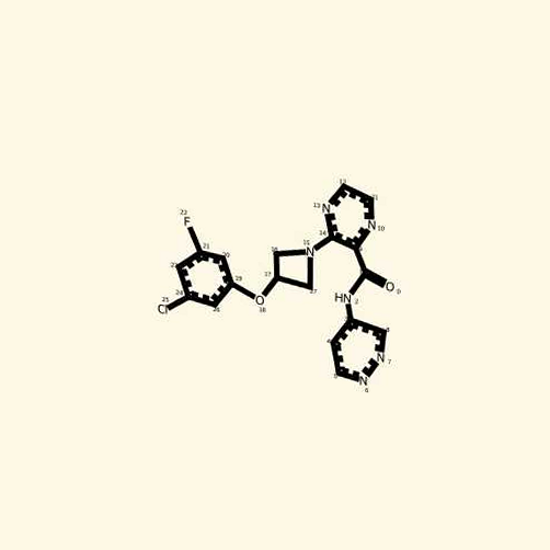 O=C(Nc1ccnnc1)c1nccnc1N1CC(Oc2cc(F)cc(Cl)c2)C1